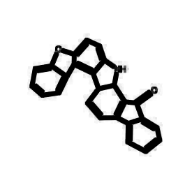 O=C1C2=C(C=CC3c4c(ccc5oc6ccccc6c45)NC23)c2ccccc21